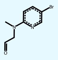 CN(CC=O)c1ccc(Br)cn1